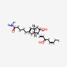 CC/C=C\C[C@@H](O)/C=C/[C@@H]1[C@H]2CC(CCCCC(=O)N(C)C)=C[C@H]2C[C@H]1O